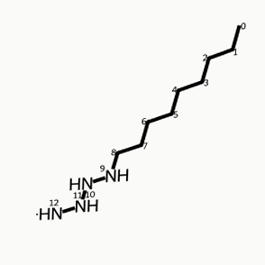 CCCCCCCCCNNN[NH]